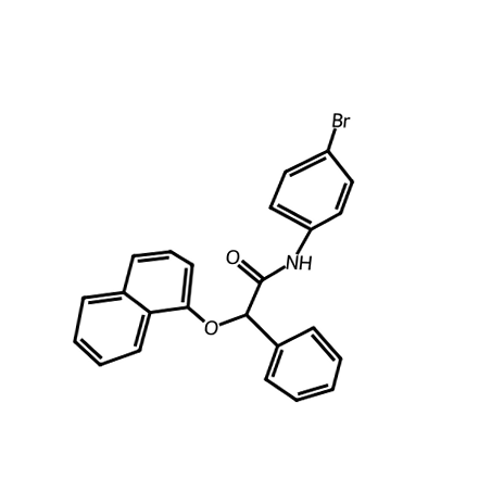 O=C(Nc1ccc(Br)cc1)C(Oc1cccc2ccccc12)c1ccccc1